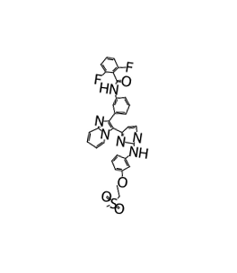 CS(=O)(=O)CCOc1cccc(Nc2nccc(-c3c(-c4cccc(NC(=O)c5c(F)cccc5F)c4)nc4ccccn34)n2)c1